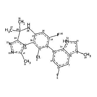 CCc1c(-c2cc(F)cc3c(C)c[nH]c23)c(F)cc2c1-n1c(C)nnc1C(C)(C)N2